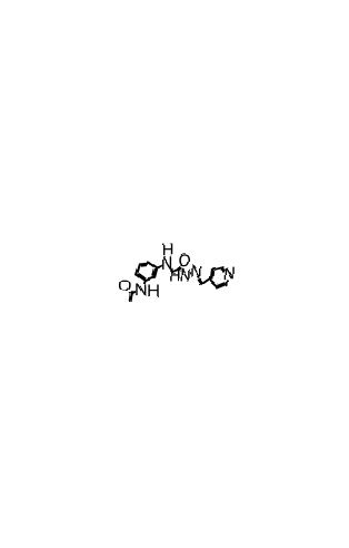 CC(=O)Nc1cccc(NCC(=O)N/N=C/c2ccncc2)c1